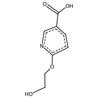 O=C(O)c1ccc(OCCO)nc1